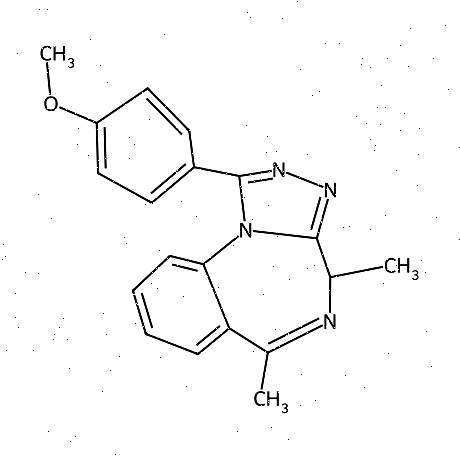 COc1ccc(-c2nnc3n2-c2ccccc2C(C)=NC3C)cc1